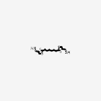 SCC1CSC(CCCCCCC2SCC(CS)S2)S1